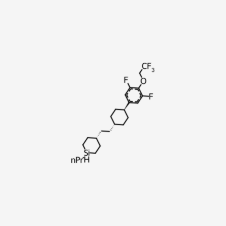 CCC[Si@H]1CC[C@H](CC[C@H]2CC[C@H](c3cc(F)c(OCC(F)(F)F)c(F)c3)CC2)CC1